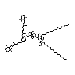 CCCCCCCCCCCCCCCC(=O)OCC(COP(=O)([O-])OCC[n+]1ccc(/C=C/C=C(C)/C=C/C2=C(C)CCCC2(C)C)cc1/C=C(C)/C=C/C=C(C)/C=C/C1=C(C)CCCC1(C)C)OC(=O)CCCCCCCCCCCCCCC